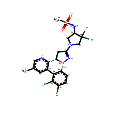 Cc1cnc([C@@H]2CC(N3C[C@@H](NS(C)(=O)=O)C(F)(F)C3)=NO2)c(-c2c(F)ccc(F)c2F)c1